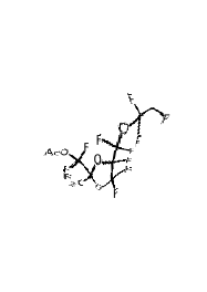 CC(=O)OC(F)(F)C1(C(F)(F)F)OC(F)(F)C(F)(C(F)(F)OC(F)(F)CF)O1